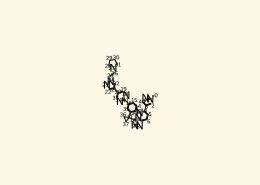 Cn1cc(-c2ccc3nnc(C4(c5cccc(-c6ncc(-c7cnn(CCN8CCCC8)c7)cn6)c5)CC4)n3n2)cn1